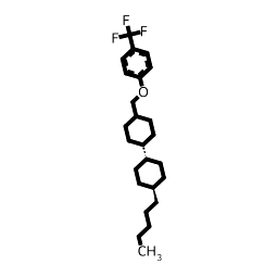 CCCCC[C@H]1CC[C@H](C2CCC(COc3ccc(C(F)(F)F)cc3)CC2)CC1